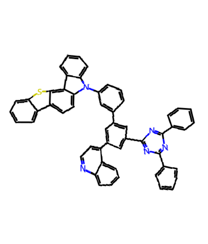 c1ccc(-c2nc(-c3ccccc3)nc(-c3cc(-c4cccc(-n5c6ccccc6c6c7sc8ccccc8c7ccc65)c4)cc(-c4ccnc5ccccc45)c3)n2)cc1